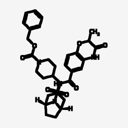 CC1Oc2ccc(C(=O)N[C@@H]3C[C@H]4CC[C@@H](C3)N4S(=O)(=O)CC3CCN(C(=O)OCc4ccccc4)CC3)cc2NC1=O